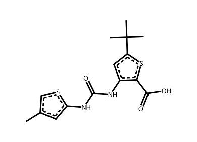 Cc1csc(NC(=O)Nc2cc(C(C)(C)C)sc2C(=O)O)c1